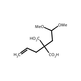 C=CCC(CC(OC)OC)(C(=O)O)C(=O)O